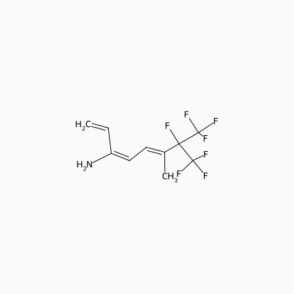 C=C/C(N)=C\C=C(/C)C(F)(C(F)(F)F)C(F)(F)F